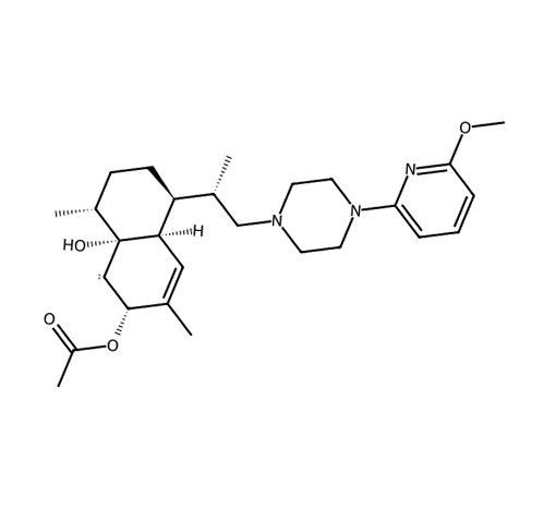 COc1cccc(N2CCN(C[C@@H](C)[C@@H]3CC[C@@H](C)[C@]4(O)[C][C@@H](OC(C)=O)C(C)=C[C@H]34)CC2)n1